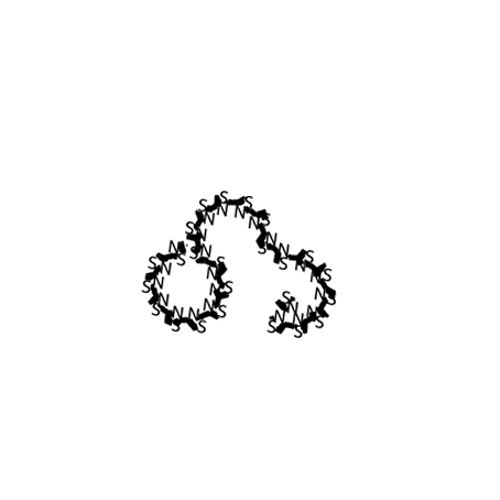 [c]1csc(-c2csc(-c3csc(-c4csc(-c5csc(-c6csc(-c7csc(-c8csc(-c9csc(-c%10csc(-c%11csc(-c%12csc(-c%13csc(-c%14csc(-c%15csc(-c%16csc(-c%17csc(-c%18csc(-c%19csc(-c%20csc(-c%21csc(-c%22csc(C%23=CSCN%23c%23cscn%23)n%22)n%21)n%20)n%19)n%18)n%17)n%16)n%15)n%14)n%13)n%12)n%11)n%10)n9)n8)n7)n6)n5)n4)n3)n2)n1